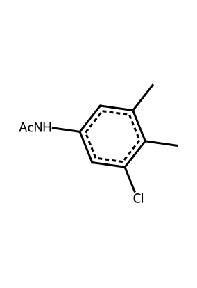 CC(=O)Nc1cc(C)c(C)c(Cl)c1